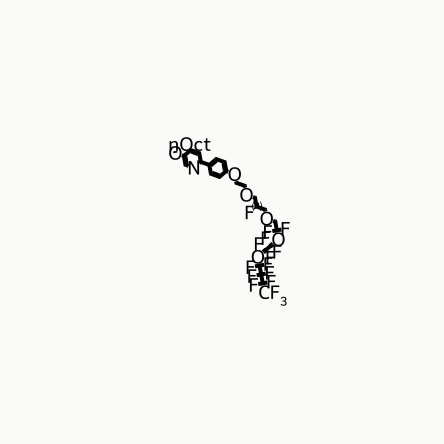 CCCCCCCCOc1ccc(-c2ccc(OCCOC[C@@H](F)COCC(F)(F)OC(F)(F)C(F)(F)OC(F)(F)C(F)(F)C(F)(F)C(F)(F)F)cc2)nc1